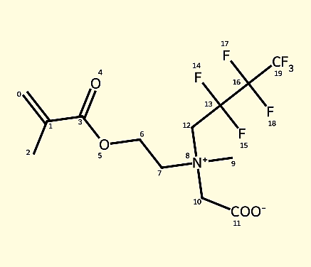 C=C(C)C(=O)OCC[N+](C)(CC(=O)[O-])CC(F)(F)C(F)(F)C(F)(F)F